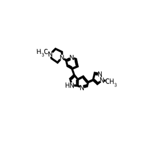 CN1CCN(c2cc(-c3c[nH]c4ncc(-c5cnn(C)c5)cc34)ccn2)CC1